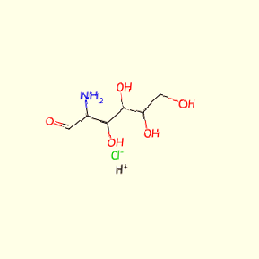 NC(C=O)C(O)C(O)C(O)CO.[Cl-].[H+]